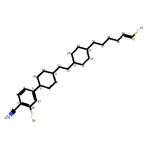 N#Cc1ccc(C2CCC(CCC3CCC(CCCCC=CF)CC3)CC2)cc1F